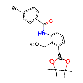 CC(=O)OCc1c(NC(=O)c2ccc(C(C)C)cc2)cccc1B1OC(C)(C)C(C)(C)O1